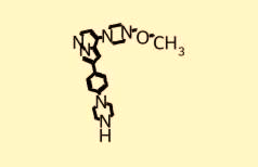 CCOCN1CCN(c2ccnn3cc(-c4ccc(N5CCNCC5)cc4)cc23)CC1